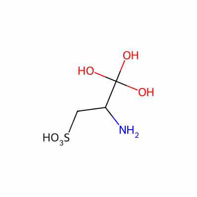 NC(CS(=O)(=O)O)C(O)(O)O